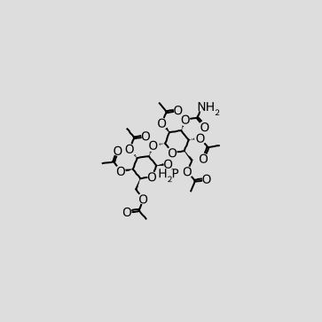 CC(=O)OC[C@@H]1O[C@H](OP)[C@@H](O[C@H]2O[C@H](COC(C)=O)[C@@H](OC(C)=O)[C@@H](OC(N)=O)[C@@H]2OC(C)=O)[C@@H](OC(C)=O)[C@@H]1OC(C)=O